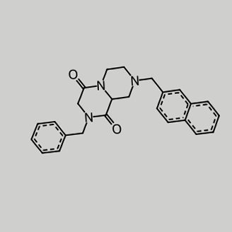 O=C1C2CN(Cc3ccc4ccccc4c3)CCN2C(=O)CN1Cc1ccccc1